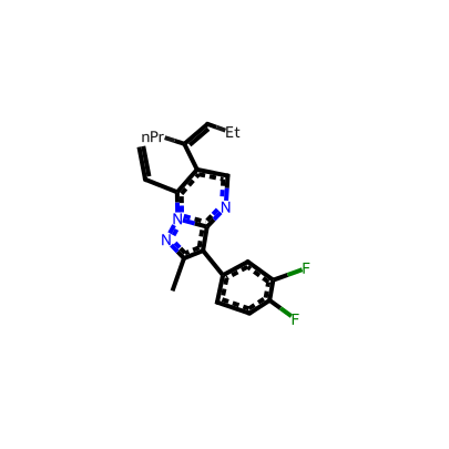 C=Cc1c(/C(=C\CC)CCC)cnc2c(-c3ccc(F)c(F)c3)c(C)nn12